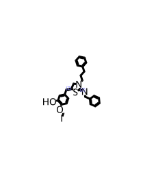 Oc1cc(/C=C2/CN(CCCc3ccccc3)/C(=N/Cc3ccccc3)S2)ccc1OCI